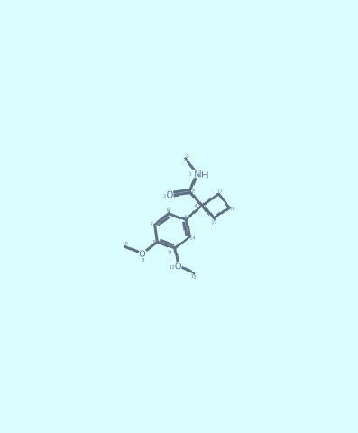 CNC(=O)C1(c2ccc(OC)c(OC)c2)CCC1